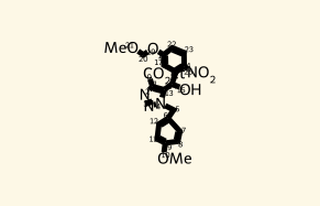 CCOC(=O)c1nnn(Cc2ccc(OC)cc2)c1C(O)c1cc(OCOC)ccc1[N+](=O)[O-]